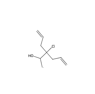 [CH2]C(O)C(Cl)(CC=C)CC=C